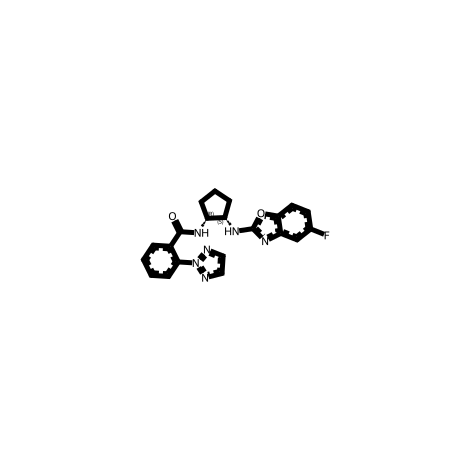 O=C(N[C@@H]1CCC[C@@H]1Nc1nc2cc(F)ccc2o1)c1ccccc1-n1nccn1